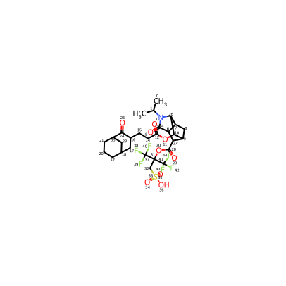 CC(C)N1C(=O)C2C3CC(C(OC(=O)CCC4CC5CCCC(C5)C4=O)C31)C2C(=O)OC(CS(=O)(=O)O)(C(F)(F)F)C(F)(F)F